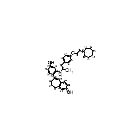 CC(Cc1ccc(OCCN2CCCCCC2)cc1)Nc1cc(O)ccc1C1=Cc2ccc(O)cc2CCC1